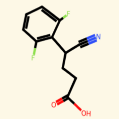 N#CC(CCC(=O)O)c1c(F)cccc1F